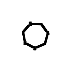 C1SCSSCS1